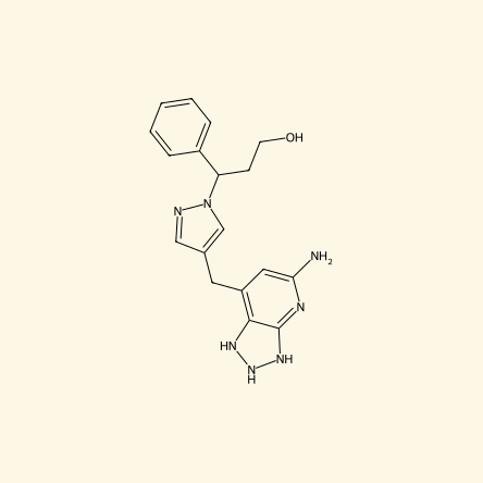 Nc1cc(Cc2cnn(C(CCO)c3ccccc3)c2)c2c(n1)NNN2